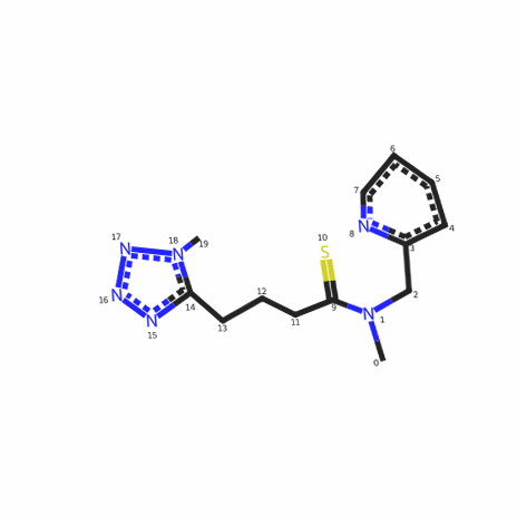 CN(Cc1ccccn1)C(=S)CCCc1nnnn1C